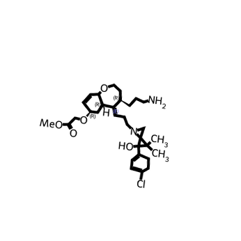 COC(=O)CO[C@H]1C=CC2OCC[C@@H](CCCN)/C(=C\CCN3CC34C(C)(C)C4(O)C3=CC=C(Cl)CC3)[C@H]2C1